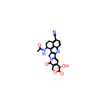 CC(=O)NC1CCc2c(C#N)ccc3nc4c(c1c23)Cn1c-4cc2c(c1=O)COC(=O)[C@H]2O